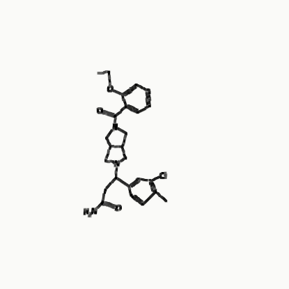 CCOc1ccccc1C(=O)N1CC2CN(C(CC(N)=O)c3ccc(C)c(Cl)c3)CC2C1